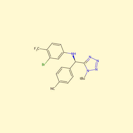 CC(C)(C)n1nnnc1[C@H](Nc1ccc(C(F)(F)F)c(Br)c1)c1ccc(C#N)cc1